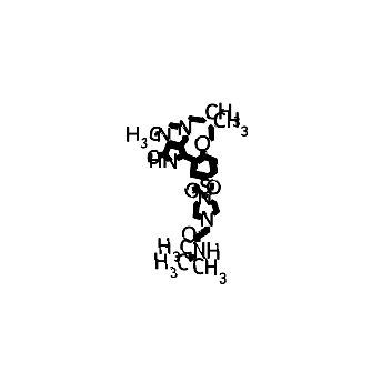 CCCOc1ccc(S(=O)(=O)N2CCN(CC(=O)NC(C)(C)C)CC2)cc1C1NC(=O)C2=C1CN(CCC)CN2C